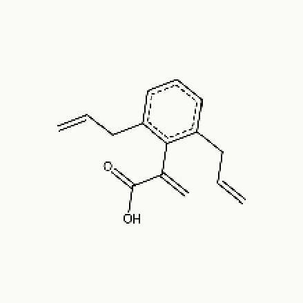 C=CCc1cccc(CC=C)c1C(=C)C(=O)O